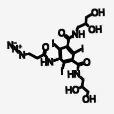 [N-]=[N+]=NCCC(=O)Nc1c(I)c(C(=O)NCC(O)CO)c(I)c(C(=O)NCC(O)CO)c1I